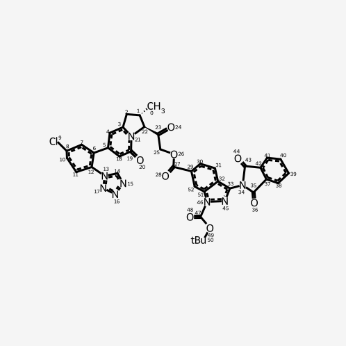 C[C@H]1Cc2cc(-c3cc(Cl)ccc3-n3cnnn3)cc(=O)n2[C@@H]1C(=O)COC(=O)c1ccc2c(N3C(=O)c4ccccc4C3=O)nn(C(=O)OC(C)(C)C)c2c1